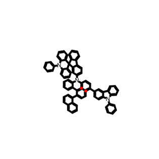 c1ccc(N2c3ccccc3C3(c4ccccc4-c4ccc(N(c5ccc(-c6ccc7c(c6)c6ccccc6n7-c6ccccc6)cc5)c5ccccc5-c5ccccc5-c5cccc6ccccc56)cc43)c3ccccc32)cc1